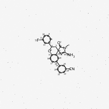 CN1C(=O)C2(CC(c3cccc(F)c3)Oc3ccc(-c4cccc(C#N)c4)cc32)N=C1N